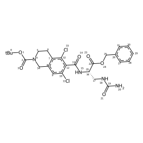 CC(C)(C)OC(=O)N1CCc2c(cc(Cl)c(C(=O)N[C@@H](CNC(N)=O)C(=O)OCc3ccccc3)c2Cl)C1